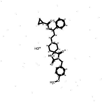 COc1ccc(CN2C(=O)NC3(CCN(CCC(NC(=O)C4CC4)c4ccccc4)CC3)C2=O)cc1.Cl